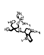 NOP(=O)(ON)OCC(CO)(CO)CNCC1=CNC(O)c2cc[nH]c21